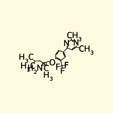 Cc1cc(-c2ccc(OC[C@@](C)(N)CC(C)C)c(C(F)(F)F)c2)nc(C)n1